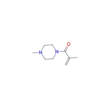 C=C(C)C(=O)N1CCN(C)CC1